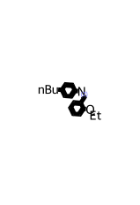 CCCCc1ccc(/N=C\c2ccccc2OCC)cc1